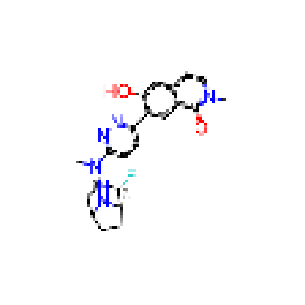 CN(c1ccc(-c2cc3c(=O)n(C)ccc3cc2O)nn1)[C@H]1CC2CCC(N2)[C@H]1F